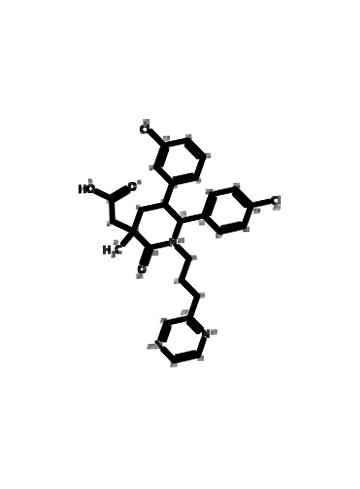 CC1(CC(=O)O)CC(c2cccc(Cl)c2)C(c2ccc(Cl)cc2)N(CCCc2cnccn2)C1=O